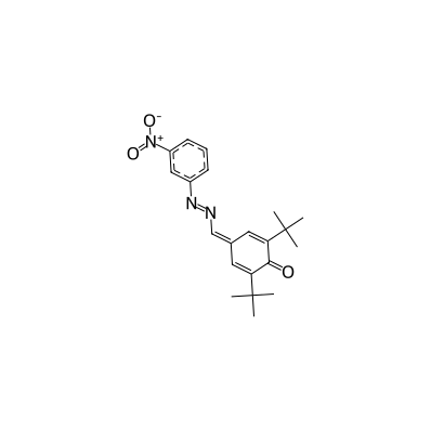 CC(C)(C)C1=CC(=CN=Nc2cccc([N+](=O)[O-])c2)C=C(C(C)(C)C)C1=O